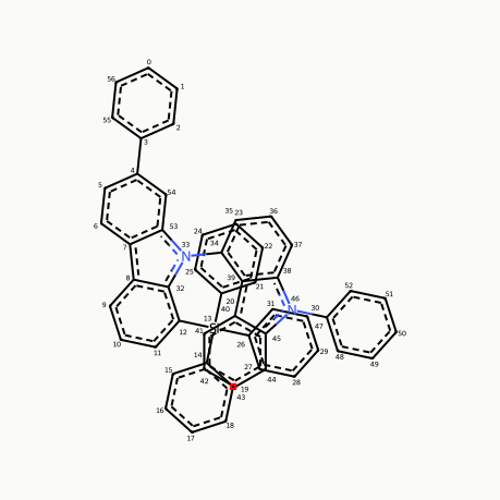 c1ccc(-c2ccc3c4cccc([Si](c5ccccc5)(c5ccccc5)c5ccccc5)c4n(-c4cccc5c4c4ccccc4n5-c4ccccc4)c3c2)cc1